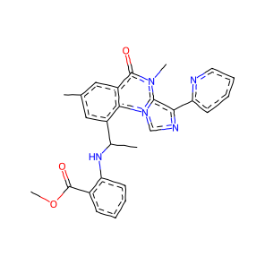 COC(=O)c1ccccc1NC(C)c1cc(C)cc2c(=O)n(C)c3c(-c4ccccn4)ncn3c12